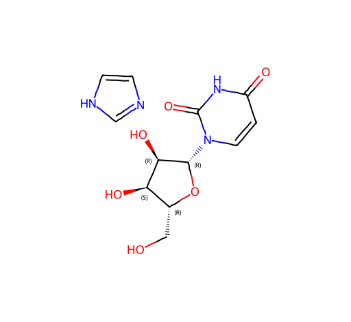 O=c1ccn([C@@H]2O[C@H](CO)[C@@H](O)[C@H]2O)c(=O)[nH]1.c1c[nH]cn1